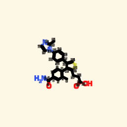 Cc1cc(C(N)=O)ccc1-c1c(-c2ccc(-n3ccnc3C)cc2)csc1CCC(=O)O